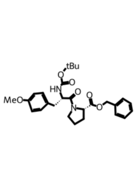 COc1ccc(C[C@H](NC(=O)OC(C)(C)C)C(=O)N2CCC[C@H]2C(=O)OCc2ccccc2)cc1